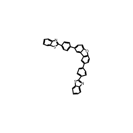 c1ccc2sc(-c3ccc(-c4ccc5oc6ccc(-c7ccc(-c8nc9ccccc9s8)cc7)cc6c5c4)cc3)nc2c1